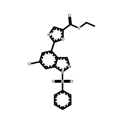 CCOC(=O)c1cnc(-c2cc(Cl)cc3c2cnn3S(=O)(=O)c2ccccc2)o1